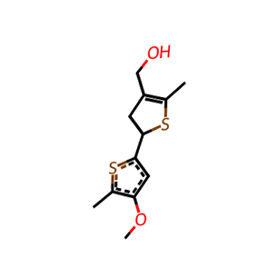 COc1cc(C2CC(CO)=C(C)S2)sc1C